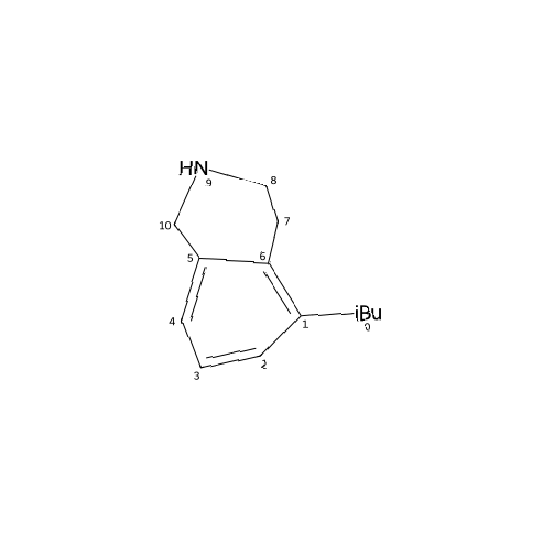 CCC(C)c1cccc2c1CCNC2